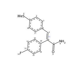 CSc1ccc(/C=C(/C(N)=O)c2ccc(F)cc2)cc1